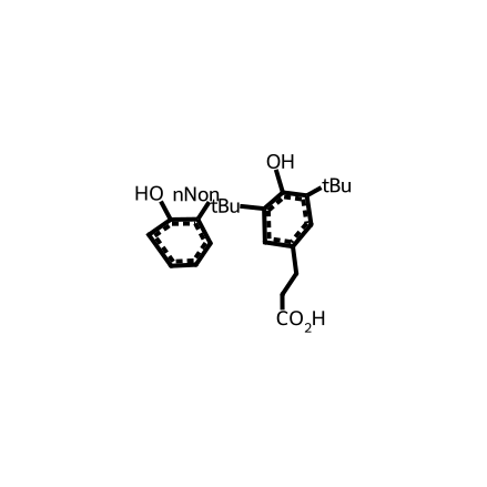 CC(C)(C)c1cc(CCC(=O)O)cc(C(C)(C)C)c1O.CCCCCCCCCc1ccccc1O